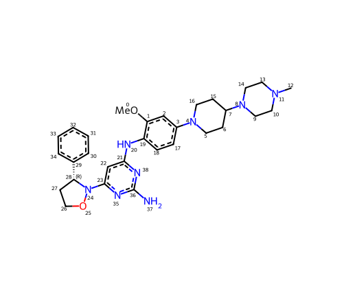 COc1cc(N2CCC(N3CCN(C)CC3)CC2)ccc1Nc1cc(N2OCC[C@@H]2c2ccccc2)nc(N)n1